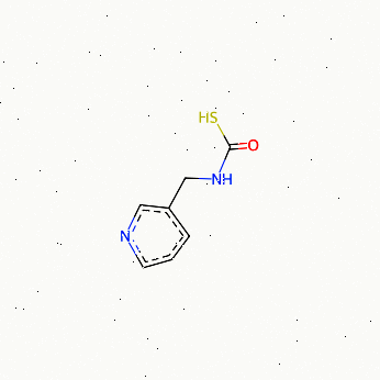 O=C(S)NCc1cccnc1